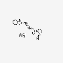 Cl.Cl.N#C[C@@H]1CCCN1C(=O)CNCCNc1nc2ccccc2s1